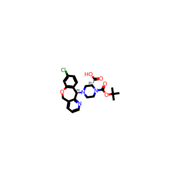 CC(C)(C)OC(=O)N1CCN([C@@H]2c3ccc(Cl)cc3OCc3cccnc32)C[C@@H]1C(=O)O